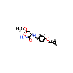 COC(=O)C[C@H](NCc1ccc(OCC2CC2)cc1)C(N)=O